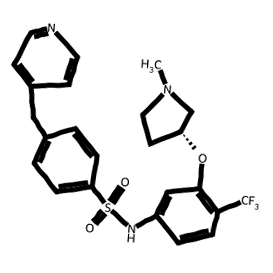 CN1CC[C@@H](Oc2cc(NS(=O)(=O)c3ccc(Cc4ccncc4)cc3)ccc2C(F)(F)F)C1